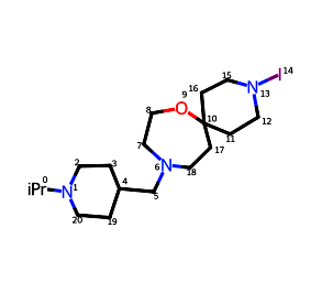 CC(C)N1CCC(CN2CCOC3(CCN(I)CC3)CC2)CC1